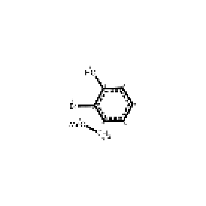 COC.Oc1ccccc1Br